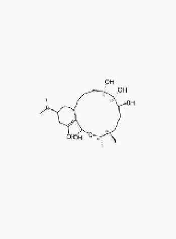 C[C@@H]1CCC(O)[C@@H](O)[C@@H](O)CCCC2CC(N(C)C)CC(O)=C2C(O)O[C@H]1C